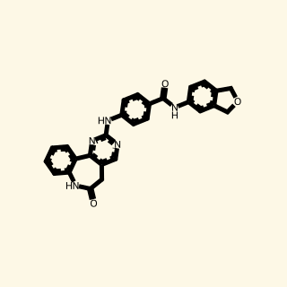 O=C1Cc2cnc(Nc3ccc(C(=O)Nc4ccc5c(c4)COC5)cc3)nc2-c2ccccc2N1